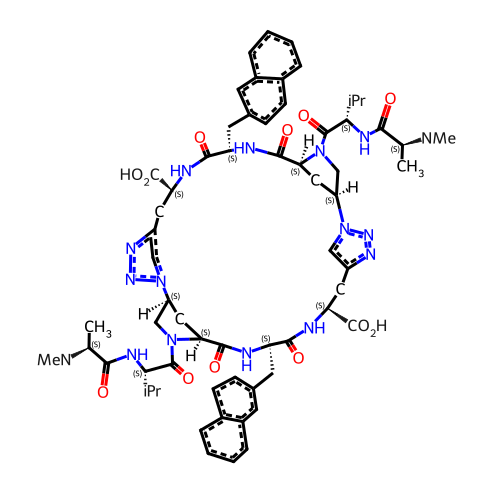 CN[C@@H](C)C(=O)N[C@H](C(=O)N1C[C@@H]2C[C@H]1C(=O)N[C@@H](Cc1ccc3ccccc3c1)C(=O)N[C@H](C(=O)O)Cc1cn(nn1)[C@H]1C[C@@H](C(=O)N[C@@H](Cc3ccc4ccccc4c3)C(=O)N[C@H](C(=O)O)Cc3cn2nn3)N(C(=O)[C@@H](NC(=O)[C@H](C)NC)C(C)C)C1)C(C)C